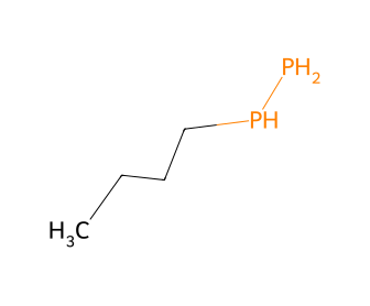 CCCCPP